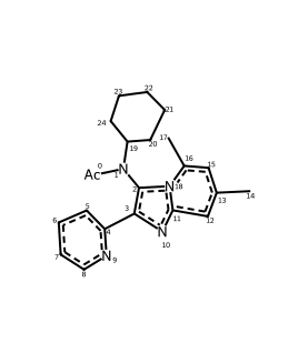 CC(=O)N(c1c(-c2ccccn2)nc2cc(C)cc(C)n12)C1CCCCC1